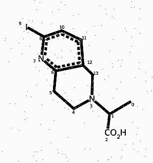 CC(C(=O)O)N1CCc2nc(I)ccc2C1